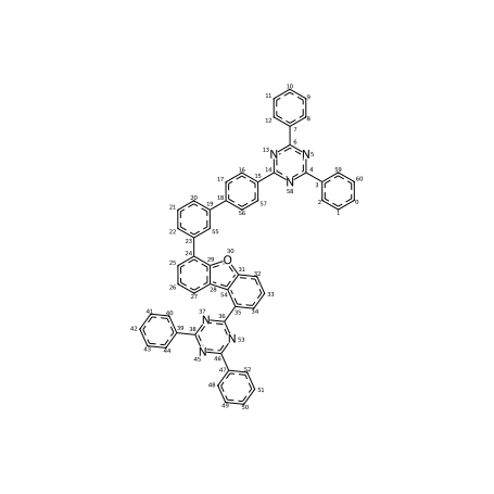 c1ccc(-c2nc(-c3ccccc3)nc(-c3ccc(-c4cccc(-c5cccc6c5oc5cccc(-c7nc(-c8ccccc8)nc(-c8ccccc8)n7)c56)c4)cc3)n2)cc1